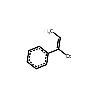 C/C=C(/CC)c1ccccc1